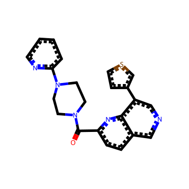 O=C(c1ccc2cncc(-c3ccsc3)c2n1)N1CCN(c2ccccn2)CC1